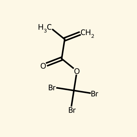 C=C(C)C(=O)OC(Br)(Br)Br